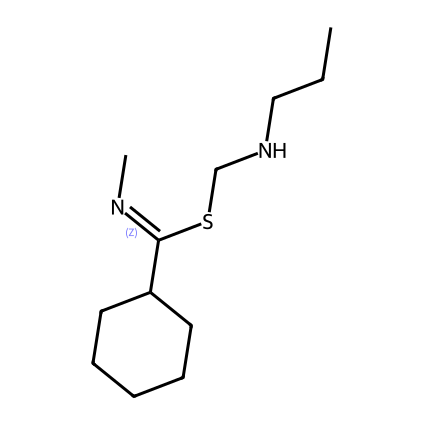 CCCNCS/C(=N\C)C1CCCCC1